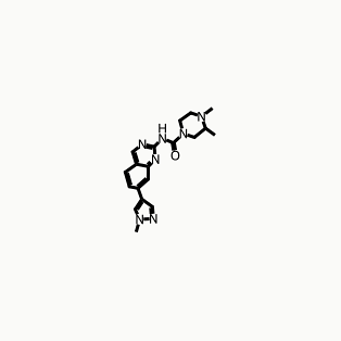 CC1CN(C(=O)Nc2ncc3ccc(-c4cnn(C)c4)cc3n2)CCN1C